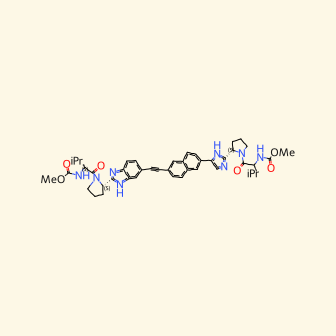 COC(=O)NC(C(=O)N1CCC[C@H]1c1ncc(-c2ccc3cc(C#Cc4ccc5nc([C@@H]6CCCN6C(=O)[C@@H](NC(=O)OC)C(C)C)[nH]c5c4)ccc3c2)[nH]1)C(C)C